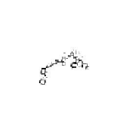 CN(CCNC(=O)NCCCOc1cccc(CN2CCCCC2)c1)CCN(Cc1ccc(F)cc1)c1ccccn1